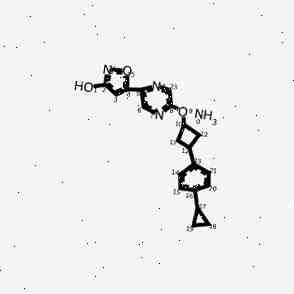 N.Oc1cc(-c2cnc(OC3CC(c4ccc(C5CC5)cc4)C3)cn2)on1